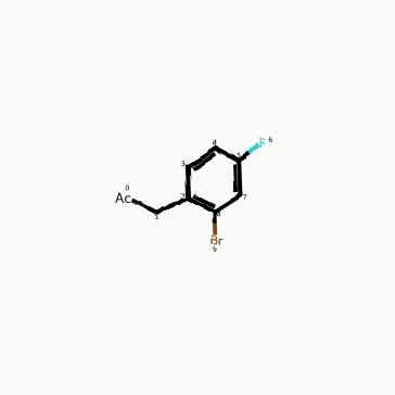 CC(=O)Cc1ccc(F)cc1Br